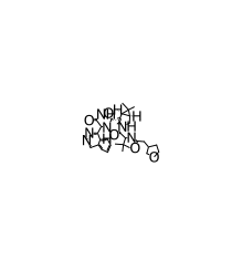 CC(C)(C)[C@H](NC(=O)CC1CCOC1)C(=O)N1C[C@H]2[C@@H]([C@H]1C(=O)NC(C(N)=O)c1nncc3ccccc13)C2(C)C